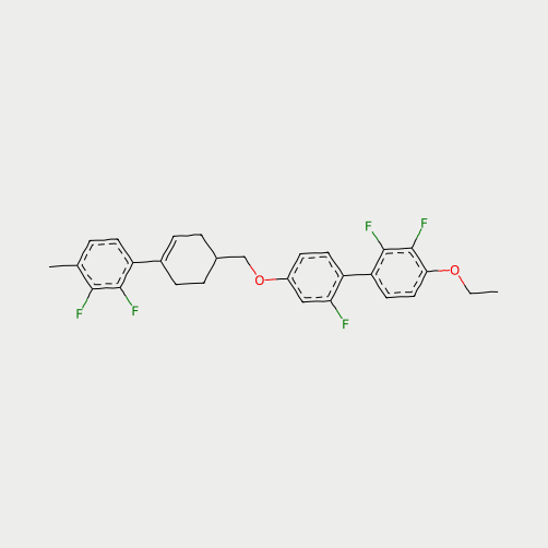 CCOc1ccc(-c2ccc(OCC3CC=C(c4ccc(C)c(F)c4F)CC3)cc2F)c(F)c1F